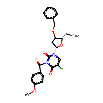 CCCOc1ccc(C(=O)n2c(=O)c(F)cn([C@@H]3CC(OCc4ccccc4)[C@H](COC(C)=O)O3)c2=O)cc1